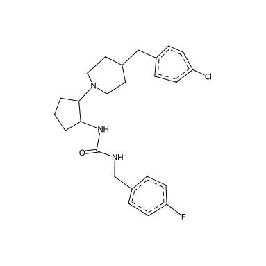 O=C(NCc1ccc(F)cc1)NC1CCCC1N1CCC(Cc2ccc(Cl)cc2)CC1